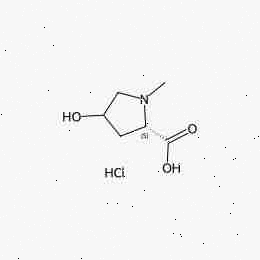 CN1CC(O)C[C@H]1C(=O)O.Cl